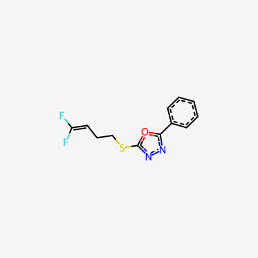 FC(F)=CCCSc1nnc(-c2ccccc2)o1